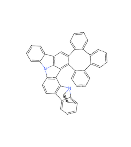 c1ccc2c(c1)-c1ccccc1-c1cc3c4ccccc4n4c5ccc6c7cccc8c9ccccc9n(c87)c6c5c(c1-c1ccccc1-2)c34